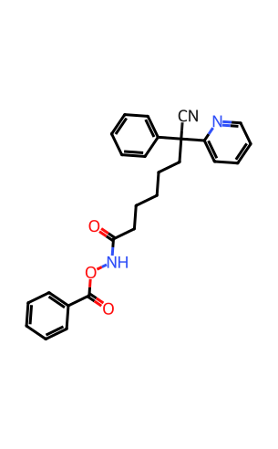 N#CC(CCCCCC(=O)NOC(=O)c1ccccc1)(c1ccccc1)c1ccccn1